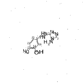 Nn1cnnc1N/N=C/c1ccc(O)c(O)c1